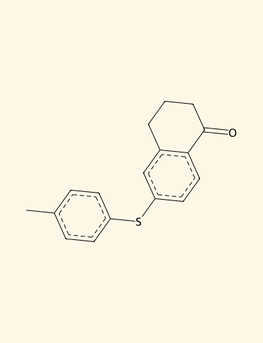 Cc1ccc(Sc2ccc3c(c2)CCCC3=O)cc1